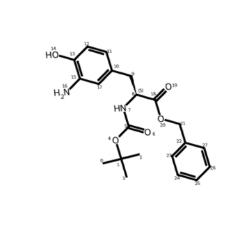 CC(C)(C)OC(=O)N[C@@H](Cc1ccc(O)c(N)c1)C(=O)OCc1ccccc1